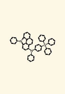 c1ccc(N(c2ccc([Si](c3ccccc3)(c3ccccc3)c3ccccc3)cc2)c2ccc3c4c2ccc2cccc(c24)n3-c2ccccc2)cc1